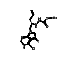 C=CC[C@@H](Cn1cc(I)c2c1=NCNC=2Cl)NNC(=O)OC(C)(C)C